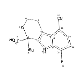 CCC(C)C1(C(=O)O)OCCc2c1[nH]c1c(F)ccc(C#N)c21